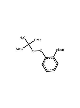 CCCCCCCCCc1ccccc1OOC(C)(OC)OC